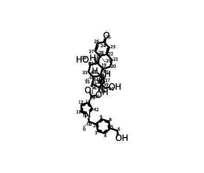 C[C@@H](c1ccc(CO)cc1)n1ccc([C@@H]2O[C@@H]3C[C@H]4[C@@H]5CCC6=CC(=O)C=C[C@]6(C)[C@H]5[C@@H](O)C[C@]4(C)[C@]3(C(=O)CO)O2)c1